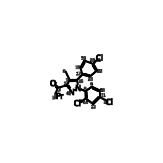 Cc1c(C(=O)C(C)C)nn(-c2ccc(Cl)cc2Cl)c1-c1ccc(Cl)cc1